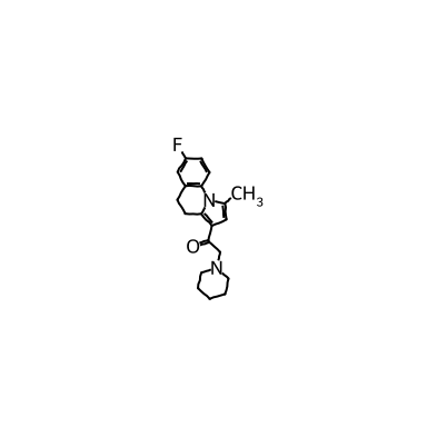 Cc1cc(C(=O)CN2CCCCC2)c2n1-c1ccc(F)cc1CC2